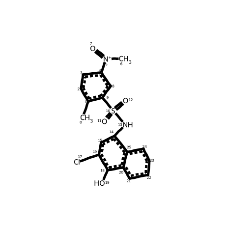 Cc1ccc([N+](C)=O)cc1S(=O)(=O)Nc1cc(Cl)c(O)c2ccccc12